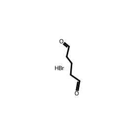 Br.O=CCCCC=O